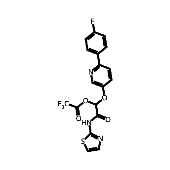 O=C(Nc1nccs1)C(OC(=O)C(F)(F)F)Oc1ccc(-c2ccc(F)cc2)nc1